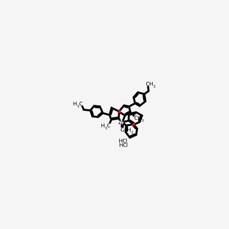 CCc1ccc(C2=CC[C]([Zr](=[GeH2])([C]3=C(C)C(c4ccc(CC)cc4)=CC3)([c]3ccccc3)[c]3ccccc3)=C2C)cc1.Cl.Cl